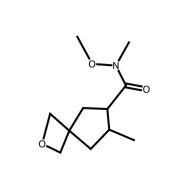 CON(C)C(=O)C1CC2(COC2)CC1C